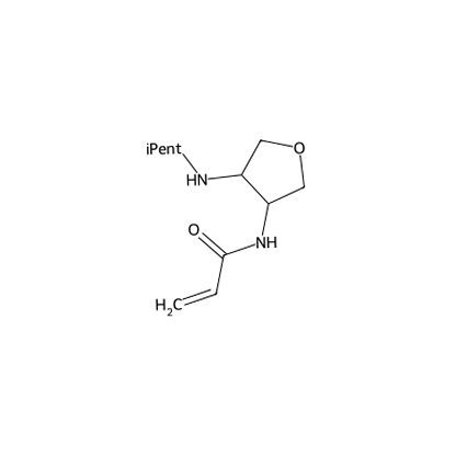 C=CC(=O)NC1COCC1NC(C)CCC